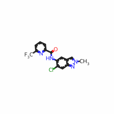 Cn1cc2cc(NC(=O)c3cccc(C(F)(F)F)n3)c(Cl)cc2n1